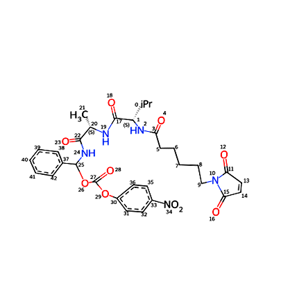 CC(C)[C@H](NC(=O)CCCCCN1C(=O)C=CC1=O)C(=O)N[C@@H](C)C(=O)NC(OC(=O)Oc1ccc([N+](=O)[O-])cc1)c1ccccc1